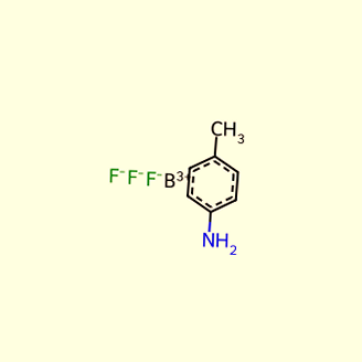 Cc1ccc(N)cc1.[B+3].[F-].[F-].[F-]